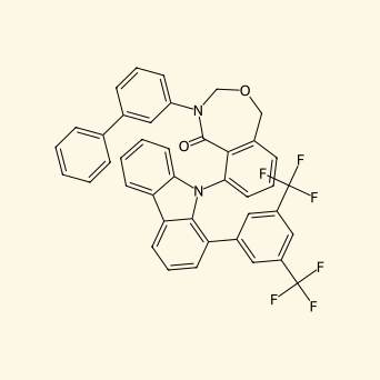 O=C1c2c(cccc2-n2c3ccccc3c3cccc(-c4cc(C(F)(F)F)cc(C(F)(F)F)c4)c32)COCN1c1cccc(-c2ccccc2)c1